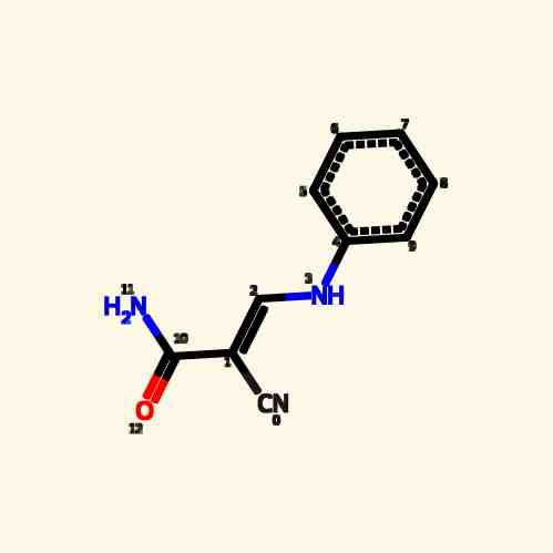 N#C/C(=C\Nc1ccccc1)C(N)=O